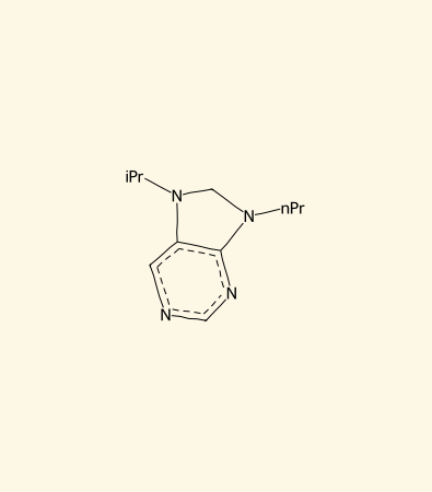 CCCN1CN(C(C)C)c2cncnc21